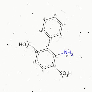 Nc1c(S(=O)(=O)O)ccc(C(=O)O)c1-c1ccccc1